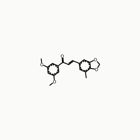 COc1cc(OC)cc(C(=O)/C=C/c2cc(C)c3c(c2)OCO3)c1